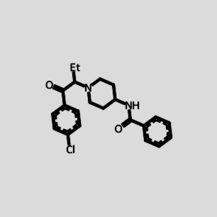 CCC(C(=O)c1ccc(Cl)cc1)N1CCC(NC(=O)c2ccccc2)CC1